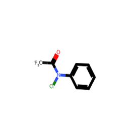 O=C(N(Cl)c1ccccc1)C(F)(F)F